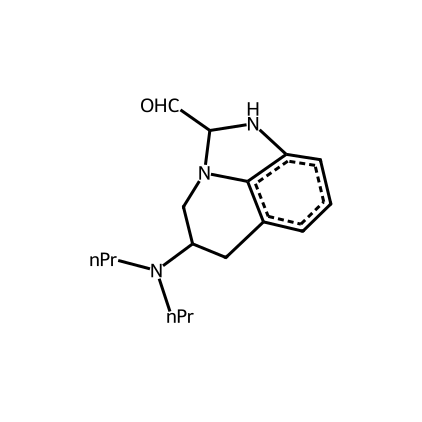 CCCN(CCC)C1Cc2cccc3c2N(C1)C(C=O)N3